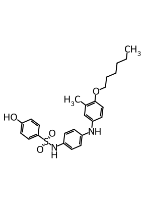 CCCCCCOc1ccc(Nc2ccc(NS(=O)(=O)c3ccc(O)cc3)cc2)cc1C